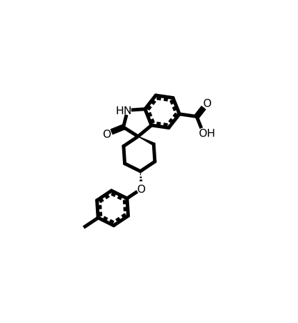 Cc1ccc(O[C@H]2CC[C@@]3(CC2)C(=O)Nc2ccc(C(=O)O)cc23)cc1